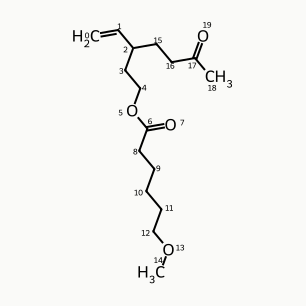 C=CC(CCOC(=O)CCCCCOC)CCC(C)=O